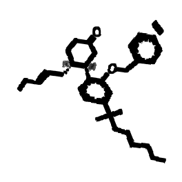 C=C.CCC=CC[C@@H]1CCC(=O)C[C@H]1c1ccc(C(C)(C)CCCCCC)cc1OCc1ccccc1